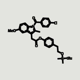 COc1ccc2c(c1)c(CC(=O)Oc1ccc(CCO[Si](C)(C)C(C)(C)C)cc1)c(C)n2C(=O)c1ccc(Cl)cc1